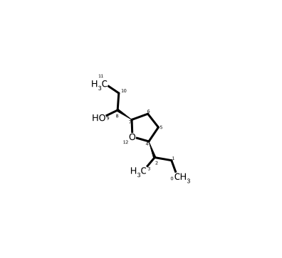 CCC(C)[C@@H]1CC[C@H](C(O)CC)O1